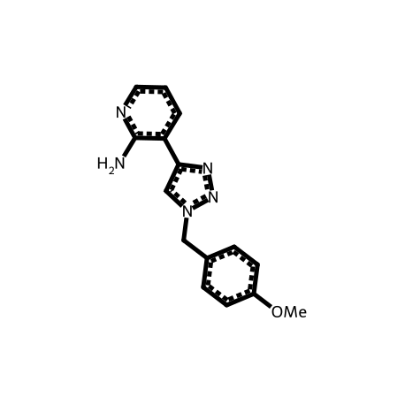 COc1ccc(Cn2cc(-c3cccnc3N)nn2)cc1